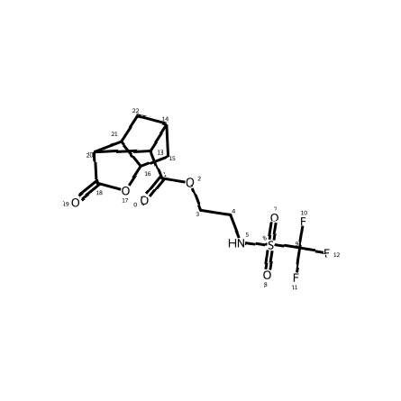 O=C(OCCNS(=O)(=O)C(F)(F)F)C1C2CC3OC(=O)C1C3C2